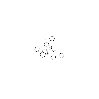 CCC(C)C1=Cc2c(ccc(C(C)(C)C)c2-c2ccccc2)[CH]1[Zr]([Cl])([Cl])([c]1cccc2c1[SiH2]c1ccccc1-2)[CH]1C(C(C)CC)=Cc2c1ccc(C(C)(C)C)c2-c1ccccc1